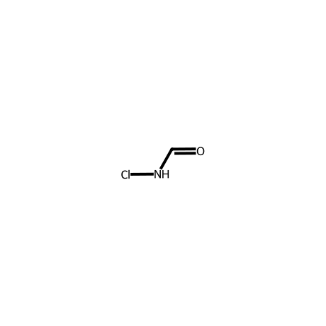 O=CNCl